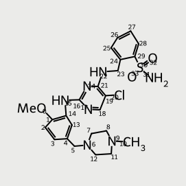 COc1ccc(CN2CCN(C)CC2)cc1Nc1ncc(Cl)c(NCc2ccccc2S(N)(=O)=O)n1